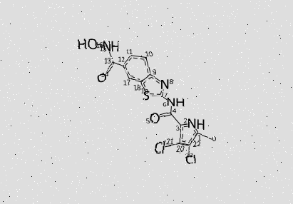 Cc1[nH]c(C(=O)Nc2nc3ccc(C(=O)NO)cc3s2)c(Cl)c1Cl